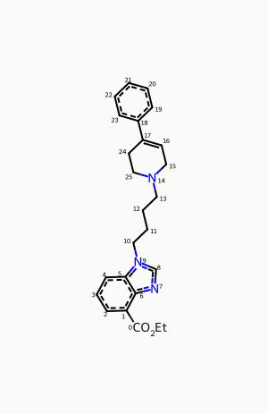 CCOC(=O)c1cccc2c1ncn2CCCCN1CC=C(c2ccccc2)CC1